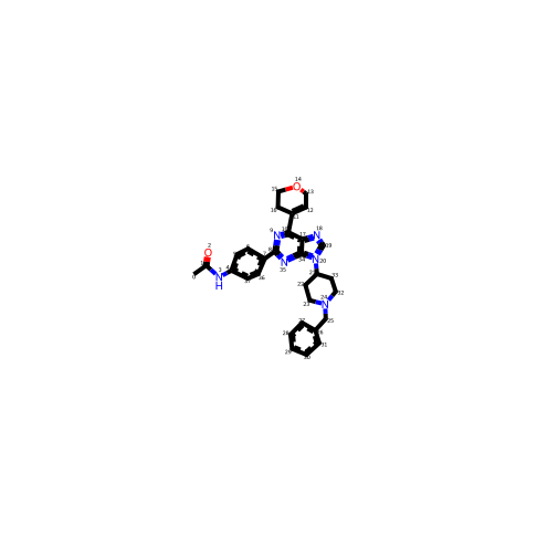 CC(=O)Nc1ccc(-c2nc(C3=CCOCC3)c3ncn(C4CCN(Cc5ccccc5)CC4)c3n2)cc1